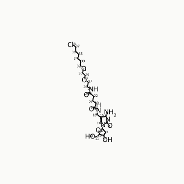 Nc1nc(=O)n([C@H]2CC(O)[C@@H](CO)O2)cc1CNC(=O)CCCC(=O)NCCOCCOCCCCCCCl